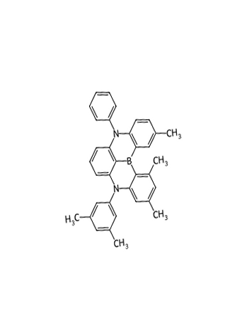 Cc1cc(C)cc(N2c3cc(C)cc(C)c3B3c4cc(C)ccc4N(c4ccccc4)c4cccc2c43)c1